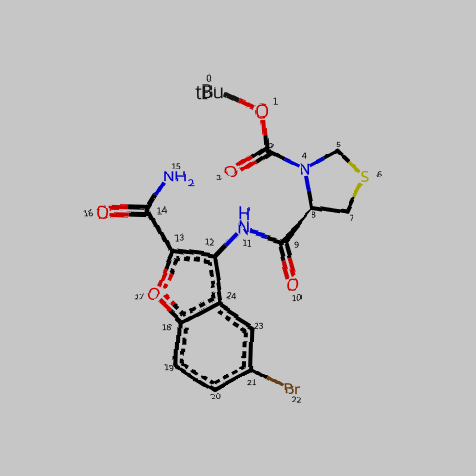 CC(C)(C)OC(=O)N1CSC[C@H]1C(=O)Nc1c(C(N)=O)oc2ccc(Br)cc12